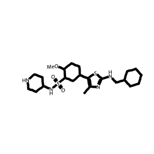 COC1CCC(c2sc(NCC3CCCCC3)nc2C)CC1S(=O)(=O)NC1CCNCC1